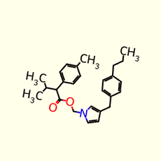 CCCc1ccc(Cc2ccn(COC(=O)C(c3ccc(C)cc3)C(C)C)c2)cc1